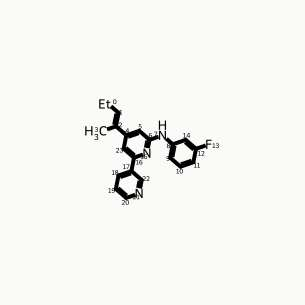 CC/C=C(\C)c1cc(Nc2cccc(F)c2)nc(-c2cccnc2)c1